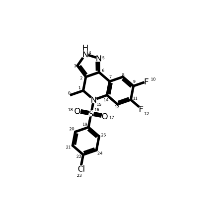 CC1c2c[nH]nc2-c2cc(F)c(F)cc2N1S(=O)(=O)c1ccc(Cl)cc1